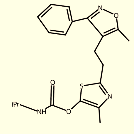 Cc1nc(CCc2c(-c3ccccc3)noc2C)sc1OC(=O)NC(C)C